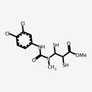 COC(=O)C(S)C(S)N(C)C(=O)Nc1ccc(Cl)c(Cl)c1